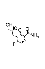 NC(=O)c1ncc(F)n(CC(O)CO)c1=O